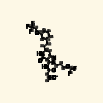 C[S+]([O-])CC(=O)Nc1c2c(nn1CCCOC(F)F)CC(CCc1cccc(OCC(F)(F)F)c1)NC2=O